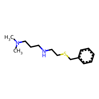 CN(C)CCCNCCSCc1ccccc1